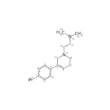 CC(C)c1ccc(C2=CCCN(CCN(C)C)C2)cc1